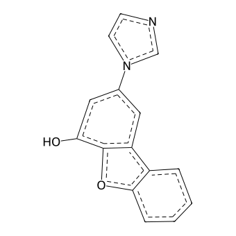 Oc1cc(-n2ccnc2)cc2c1oc1ccccc12